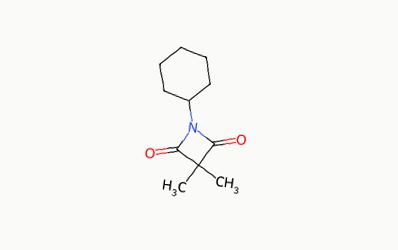 CC1(C)C(=O)N(C2CCCCC2)C1=O